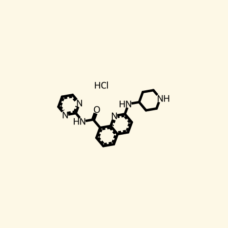 Cl.O=C(Nc1ncccn1)c1cccc2ccc(NC3CCNCC3)nc12